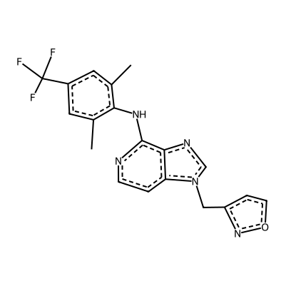 Cc1cc(C(F)(F)F)cc(C)c1Nc1nccc2c1ncn2Cc1ccon1